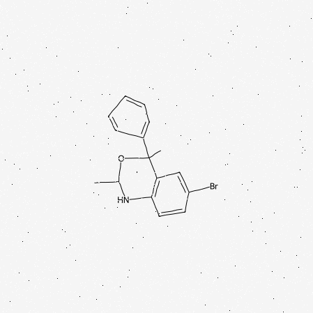 CC1Nc2ccc(Br)cc2C(C)(c2ccccc2)O1